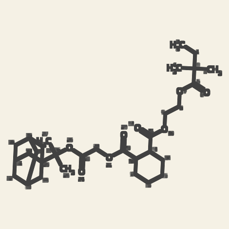 CCC(C)(C)C(=O)OCCOC(=O)C1CCCCC1C(=O)OCC(=O)OC(C)(C)C12CC3CC(CC(C3)C1)C2